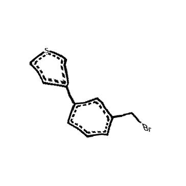 BrCc1cccc(-c2ccsc2)c1